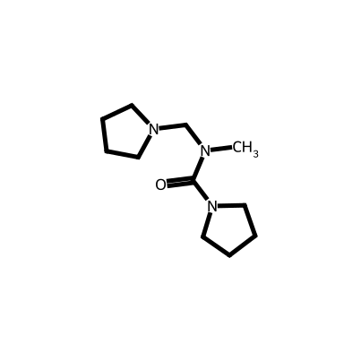 CN(CN1CCCC1)C(=O)N1CCCC1